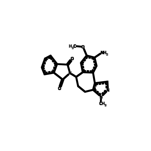 COc1cc2c(cc1N)-c1cnn(C)c1CCC2N1C(=O)c2ccccc2C1=O